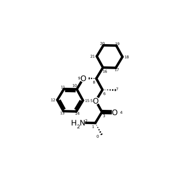 C[C@H](N)C(=O)O[C@@H](C)[C@H](Oc1ccccc1)C1CCCCC1